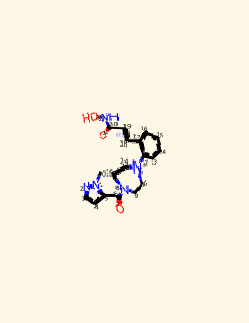 Cn1nccc1C(=O)N1CCN(c2ccccc2/C=C/C(=O)NO)CC1